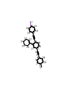 Cc1ccc(C#Cc2ccc(C#Cc3ccc(I)cc3)c(C3=CCCCC3)c2)cc1